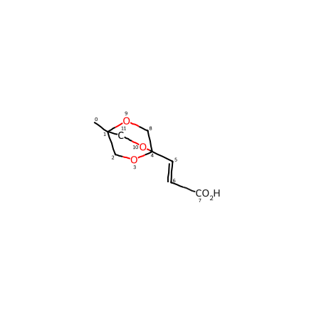 CC12COC(C=CC(=O)O)(CO1)OC2